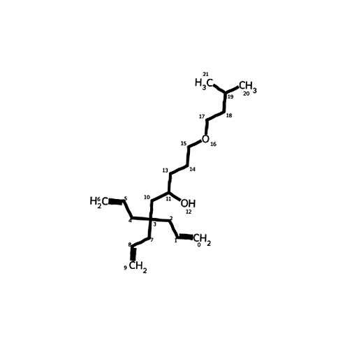 C=CCC(CC=C)(CC=C)CC(O)CCCOCCC(C)C